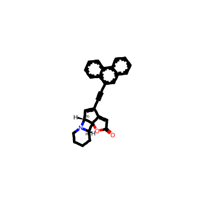 O=C1C=C2C(C#Cc3cc4ccccc4c4ccccc34)=C[C@H]3N4CCCC[C@@H]4C23O1